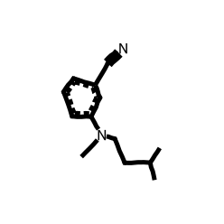 CC(C)CCN(C)c1cccc(C#N)c1